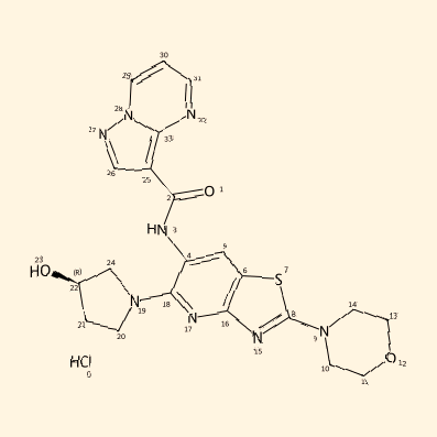 Cl.O=C(Nc1cc2sc(N3CCOCC3)nc2nc1N1CC[C@@H](O)C1)c1cnn2cccnc12